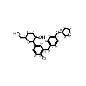 OCC1CCC(O)C(c2ccc(Cl)c(Cc3ccc(O[C@H]4CCOC4)cc3)c2)O1